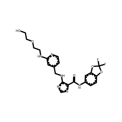 O=C(Nc1ccc2c(c1)OC(F)(F)O2)c1scnc1NCc1ccnc(NCCOCCO)c1